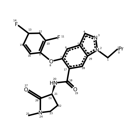 CC(C)Cn1ncc2cc(OC3=C(F)CC(F)C=C3)c(C(=O)N[C@H]3CCN(C)C3=O)cc21